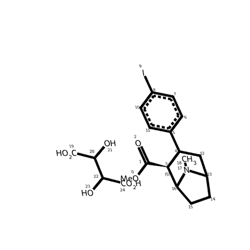 COC(=O)[C@H]1C(c2ccc(I)cc2)CC2CCC1N2C.O=C(O)C(O)C(O)C(=O)O